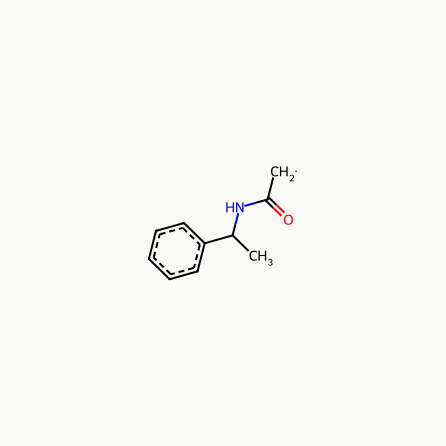 [CH2]C(=O)NC(C)c1ccccc1